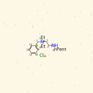 CCCCCNCC[N+](CC)(CC)Cc1ccccc1.[Cl-]